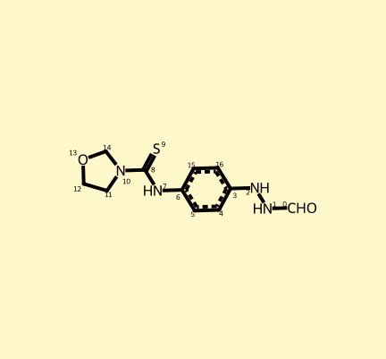 O=CNNc1ccc(NC(=S)N2CCOC2)cc1